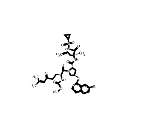 C=CC[C@](C)(NC(=O)[C@@H]1C[C@@H](Oc2nccc3ccc(Br)cc23)CN1C(=O)[C@H](CCC(=O)C=C(C)C)NC(=O)OC(C)(C)C)C(=O)NS(=O)(=O)C1CC1